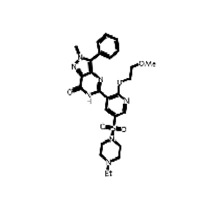 CCN1CCN(S(=O)(=O)c2cnc(OCCOC)c(-c3nc4c(-c5ccccc5)n(C)nc4c(=O)[nH]3)c2)CC1